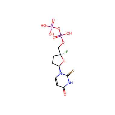 O=c1ccn([C@H]2CC[C@@](F)(COP(=O)(O)OP(=O)(O)O)O2)c(=S)[nH]1